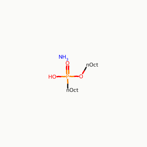 CCCCCCCCOP(=O)(O)CCCCCCCC.N